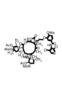 CN[C@H]1C[C@@H](C)O[C@@H](O[C@@H]2[C@@H](C)[C@H](O[C@H]3C[C@@](C)(OC)[C@@H](OC(C)=O)[C@H](C)O3)[C@@H](C)C(=O)O[C@H](I)[C@@]3(C)OC(=O)N(CCCOc4cc(C(=O)Nc5c(Cl)cncc5Cl)ccc4OC)[C@@H]3[C@@H](C)C(=O)[C@H](C)C[C@@]2(C)OC)[C@@H]1OC(C)=O